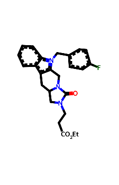 CCOC(=O)CCN1CC2Cc3c(n(Cc4ccc(F)cc4)c4ccccc34)CN2C1=O